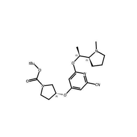 C[C@H](Oc1cc(O[C@@H]2CCN(C(=O)OC(C)(C)C)C2)cc(C#N)n1)[C@@H]1CCCN1C